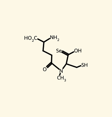 CN(C(=O)CCC(N)C(=O)O)C(CS)C(O)=[Se]